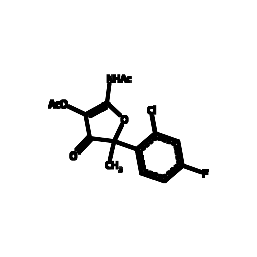 CC(=O)NC1=C(OC(C)=O)C(=O)C(C)(c2ccc(F)cc2Cl)O1